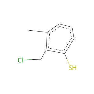 Cc1cccc(S)c1CCl